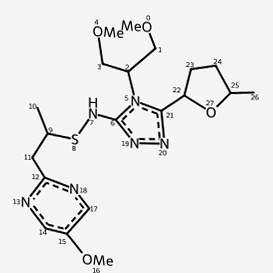 COCC(COC)n1c(NSC(C)Cc2ncc(OC)cn2)nnc1C1CCC(C)O1